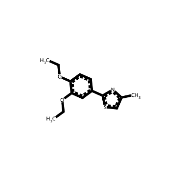 CCOc1ccc(-c2nc(C)cs2)cc1OCC